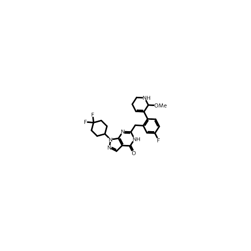 COC1NCCC=C1c1ccc(F)cc1Cc1nc2c(cnn2C2CCC(F)(F)CC2)c(=O)[nH]1